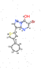 Oc1c(Br)cnc2c(-c3cc(-c4ccccc4)cs3)cnn12